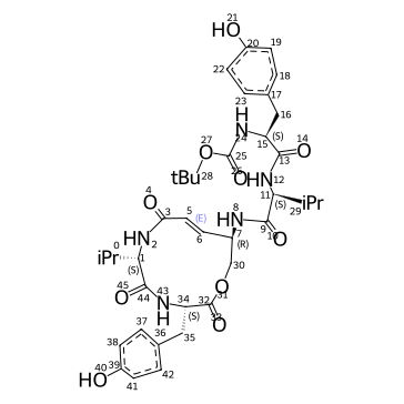 CC(C)[C@@H]1NC(=O)/C=C/[C@@H](NC(=O)[C@@H](NC(=O)[C@H](Cc2ccc(O)cc2)NC(=O)OC(C)(C)C)C(C)C)COC(=O)[C@H](Cc2ccc(O)cc2)NC1=O